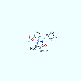 CCC(C)C(=O)Oc1ccccc1-c1nc(C)c(CC(C)C)c(=O)n1CCc1cccc(F)c1